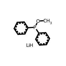 COP(c1ccccc1)c1ccccc1.[LiH]